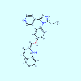 CCc1ncc(-c2ccncc2)n1-c1ccc(OC=C2C=Cc3ccccc3N2)cc1